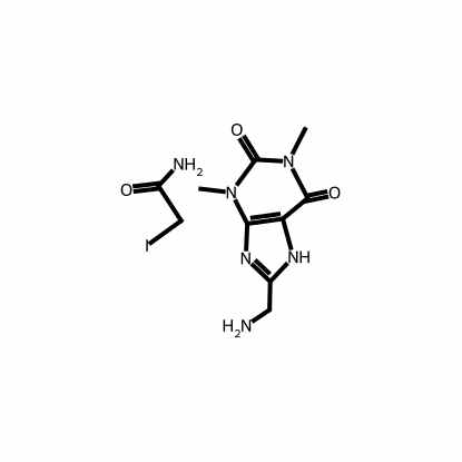 Cn1c(=O)c2[nH]c(CN)nc2n(C)c1=O.NC(=O)CI